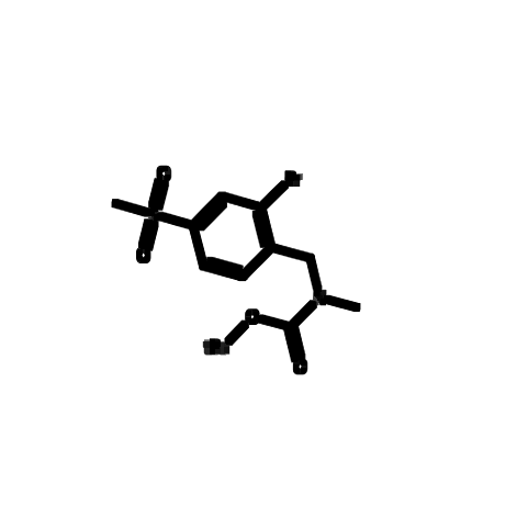 CN(Cc1ccc(S(C)(=O)=O)cc1Br)C(=O)OC(C)(C)C